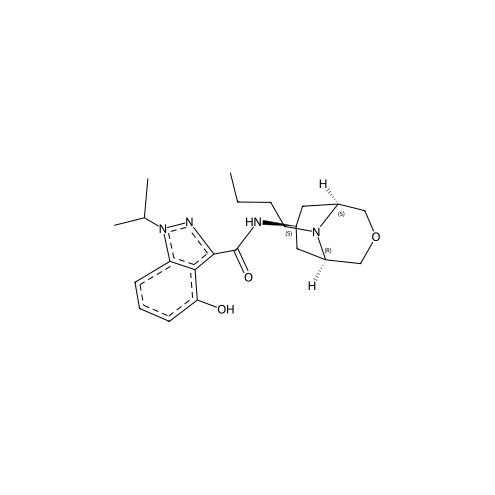 CCCCN1[C@@H]2COC[C@H]1C[C@@H](NC(=O)c1nn(C(C)C)c3cccc(O)c13)C2